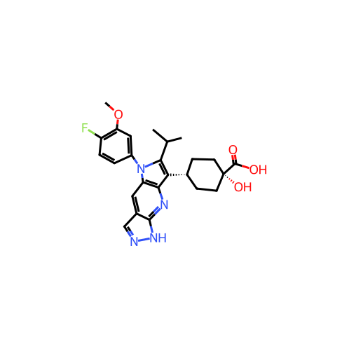 COc1cc(-n2c(C(C)C)c([C@H]3CC[C@](O)(C(=O)O)CC3)c3nc4[nH]ncc4cc32)ccc1F